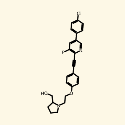 OCC1CCCN1CCOc1ccc(C#Cc2ncc(-c3ccc(Cl)cc3)cc2F)cc1